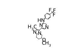 COC1CCc2nc(C)c(-c3cncc(Nc4ccc(C(F)(F)F)cc4)n3)n2C1